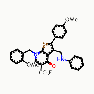 CCOC(=O)c1cn(Cc2ccccc2OC)c2sc(-c3ccc(OC)cc3)c(CNc3ccccc3)c2c1=O